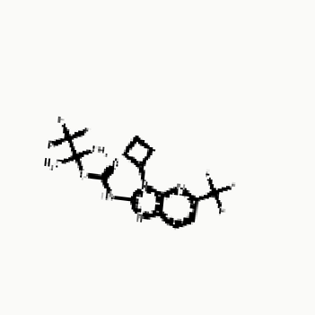 CC(C)(OC(=O)Nc1nc2ccc(C(F)(F)F)nc2n1C1CCC1)C(F)(F)F